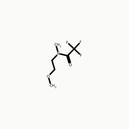 COCCN(C)C(=O)C(F)(F)F